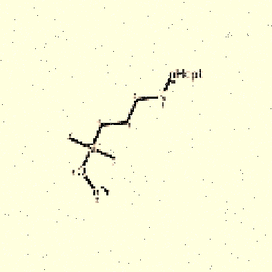 CCCCCCCSCCC[Si](C)(C)OCCC